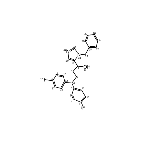 OC(CCC(c1ccc(F)cc1)c1ccc(F)cc1)c1cncn1Cc1ccccc1